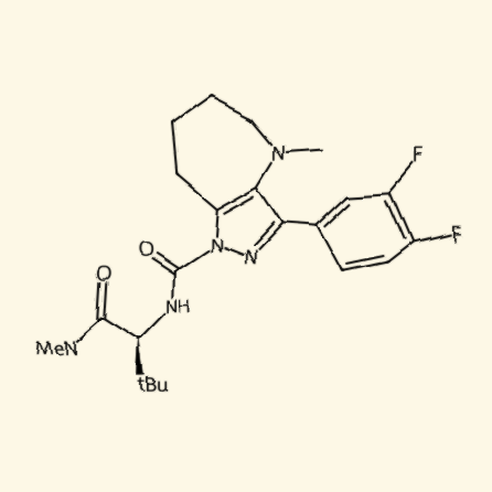 CNC(=O)[C@@H](NC(=O)n1nc(-c2ccc(F)c(F)c2)c2c1CCCCN2C)C(C)(C)C